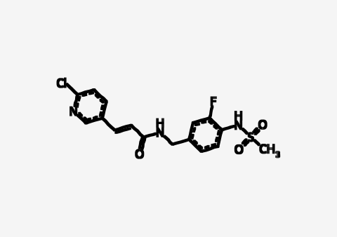 CS(=O)(=O)Nc1ccc(CNC(=O)/C=C/c2ccc(Cl)nc2)cc1F